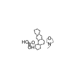 CCN1CCOCC1.OB(O)Oc1cccc2ccc3cc4ccccc4cc3c12